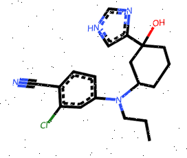 CCCN(c1ccc(C#N)c(Cl)c1)C1CCCC(O)(c2c[nH]cn2)C1